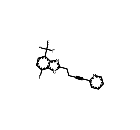 Fc1ccc(C(F)(F)F)c2nc(CCC#Cc3ccccn3)oc12